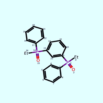 CCP(=O)(c1ccccc1)c1cccc(P(=O)(CC)c2ccccc2)c1